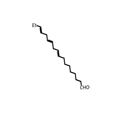 CC/C=C/C/C=C/C/C=C/CCCCCCC[C]=O